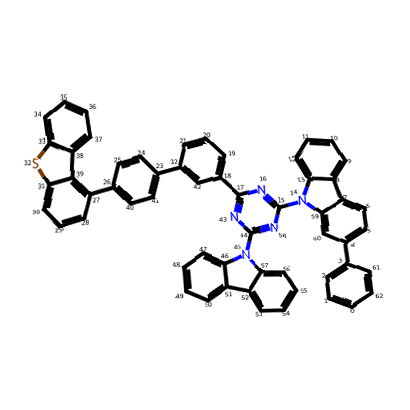 c1ccc(-c2ccc3c4ccccc4n(-c4nc(-c5cccc(-c6ccc(-c7cccc8sc9ccccc9c78)cc6)c5)nc(-n5c6ccccc6c6ccccc65)n4)c3c2)cc1